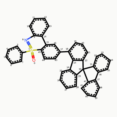 O=S1(c2ccccc2)=Nc2ccccc2-c2cc(-c3cccc4c3-c3ccccc3C43c4ccccc4-c4ccccc43)ccc21